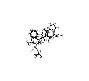 COC(=O)[C@@H](NC(=O)C1(Cc2ccccc2)CCCN1C(=O)C1CCCN1C(=O)O)[C@@H](C)OC(C)=O